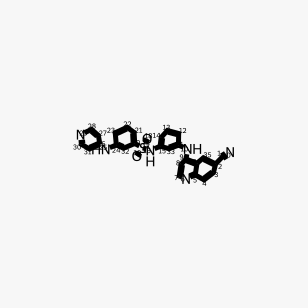 N#Cc1ccc2nccc(Nc3cccc(NS(=O)(=O)c4cccc(Nc5ccncc5)c4)c3)c2c1